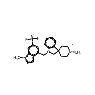 CN1CCC(COCc2cc(C(F)(F)F)cc3c2ccn3C)(c2ccccc2)CC1